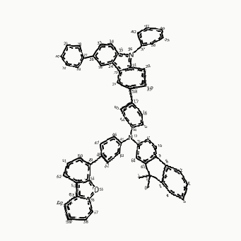 CC1(C)c2ccccc2-c2ccc(N(c3ccc(-c4ccc5c(c4)c4cc(-c6ccccc6)ccc4n5-c4ccccc4)cc3)c3ccc(-c4cccc5c4oc4ccccc45)cc3)cc21